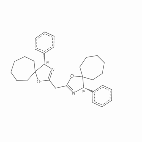 c1ccc([C@H]2N=C(CC3=N[C@H](c4ccccc4)C4(CCCCCC4)O3)OC23CCCCCC3)cc1